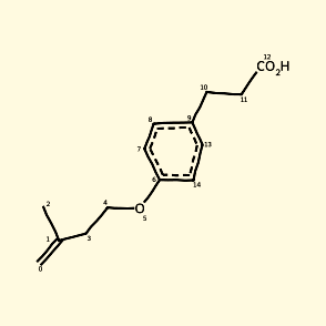 C=C(C)CCOc1ccc(CCC(=O)O)cc1